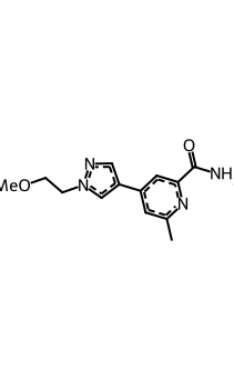 COCCn1cc(-c2cc(C)nc(C(N)=O)c2)cn1